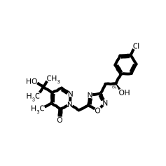 Cc1c(C(C)(C)O)cnn(Cc2nc(C[C@H](O)c3ccc(Cl)cc3)no2)c1=O